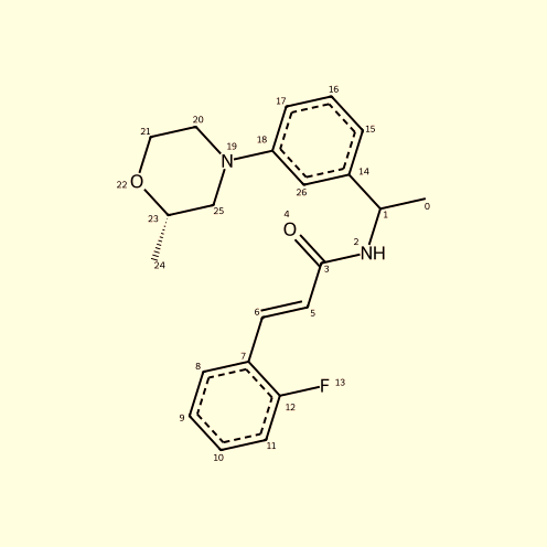 CC(NC(=O)C=Cc1ccccc1F)c1cccc(N2CCO[C@@H](C)C2)c1